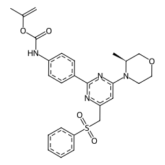 C=C(C)OC(=O)Nc1ccc(-c2nc(CS(=O)(=O)c3ccccc3)cc(N3CCOC[C@@H]3C)n2)cc1